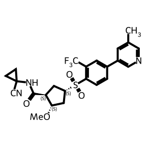 CO[C@H]1C[C@@H](S(=O)(=O)c2ccc(-c3cncc(C)c3)cc2C(F)(F)F)C[C@@H]1C(=O)NC1(C#N)CC1